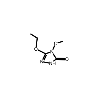 CCOc1n[nH]c(=O)n1OC